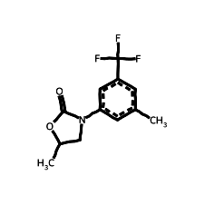 Cc1cc(N2CC(C)OC2=O)cc(C(F)(F)F)c1